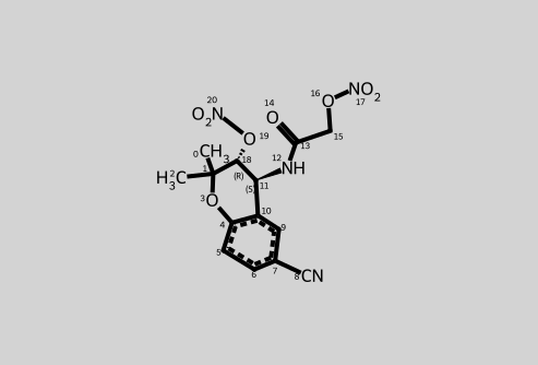 CC1(C)Oc2ccc(C#N)cc2[C@H](NC(=O)CO[N+](=O)[O-])[C@H]1O[N+](=O)[O-]